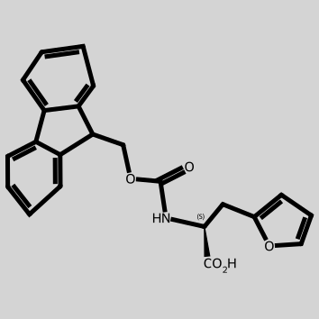 O=C(N[C@@H](Cc1ccco1)C(=O)O)OCC1c2ccccc2-c2ccccc21